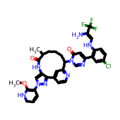 COC1=C(n2cc3c(n2)-c2ccnc(c2)C(n2cnc(-c4cc(Cl)ccc4N/C=C(\N)C(F)(F)F)cc2=O)CCCC(C)C(=O)N3)C=CCN1